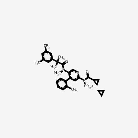 C1CC1.Cc1ccccc1-c1cc(N(C(=O)O)C(=O)C2CC2)ncc1N(C)C(=O)C(C)(C)c1cc(C(F)(F)F)cc(C(F)(F)F)c1